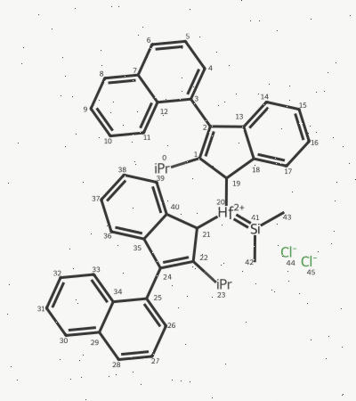 CC(C)C1=C(c2cccc3ccccc23)c2ccccc2[CH]1[Hf+2]([CH]1C(C(C)C)=C(c2cccc3ccccc23)c2ccccc21)=[Si](C)C.[Cl-].[Cl-]